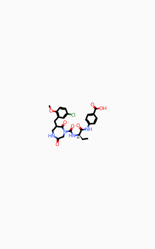 CC[C@@H](NC(=O)N1CC(=O)NCC(Cc2cc(Cl)ccc2OC)C1=O)C(=O)Nc1ccc(C(=O)O)cc1